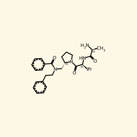 CC(C)[C@H](NC(=O)[C@H](C)N)C(=O)N1CCC[C@H]1CN(CCc1ccccc1)C(=O)c1ccccc1